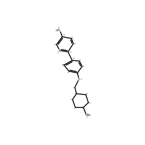 CCCCC1CCC(COc2ccc(-c3ccc(CCC)cn3)cc2)CC1